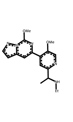 CCNC(C)c1cc(-c2cc3ccnn3c(OC)n2)c(OC)cn1